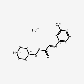 Cl.O=C(C=Cc1cccc(Cl)c1)CCN1CCNCC1